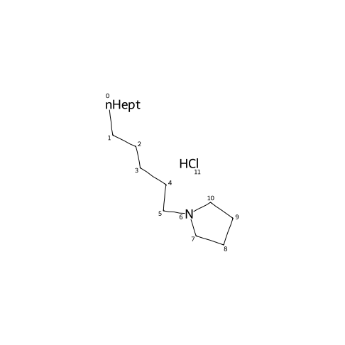 CCCCCCCCCCCCN1CCCC1.Cl